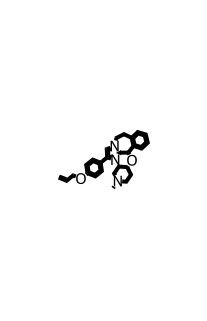 C=CCOc1ccc(-c2cn3c(n2)C(OC2CCN(C)CC2)c2ccccc2CC3)cc1